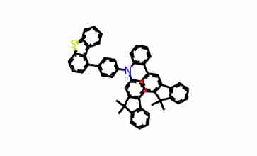 CC1(C)c2ccccc2-c2cc(-c3ccccc3N(c3ccc(-c4cccc5sc6ccccc6c45)cc3)c3ccc4c(c3)C(C)(C)c3ccccc3-4)ccc21